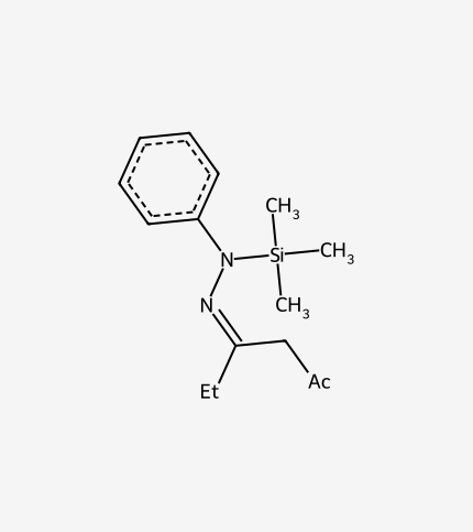 CCC(CC(C)=O)=NN(c1ccccc1)[Si](C)(C)C